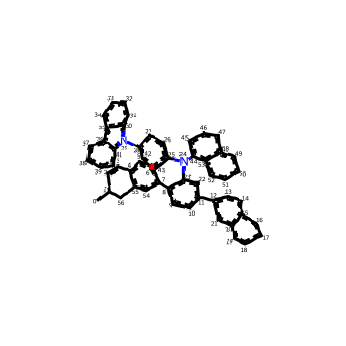 CC1C=Cc2ccc(-c3ccc(-c4ccc5ccccc5c4)cc3N(c3ccc(-n4c5ccccc5c5ccccc54)cc3)c3cccc4ccccc34)cc2C1